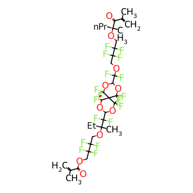 C=C(C)C(=O)OCC(F)(F)C(F)(F)COC(C)(CC)C(F)(F)C1OC(F)(F)C2(C(F)(F)OC(C(F)(F)OCC(F)(F)C(F)(F)CO[C@](C)(CCC)C(=O)C(=C)C)OC2(F)F)C(F)(F)O1